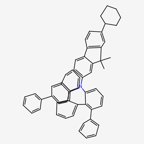 CC1(C)c2cc(C3CCCCC3)ccc2-c2ccc(N(c3ccc(-c4ccccc4)cc3)c3cccc(-c4ccccc4)c3-c3ccccc3-c3ccccc3)cc21